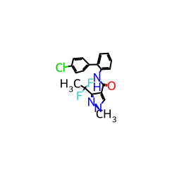 Cn1cc(C(=O)Nc2ccccc2-c2ccc(Cl)cc2)c(C(C)(F)F)n1